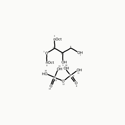 CCCCCCCCOC(CCCCCCCC)C(O)CO.O=P(O)(O)OP(=O)(O)O